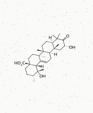 C[C@@H]1CC[C@]2(C(=O)O)CC[C@]3(C)C(=CC[C@@H]4[C@@]5(C)C[C@@H](O)C(=O)C(C)(C)[C@@H]5CC[C@]43C)[C@@H]2[C@]1(C)O